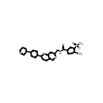 Cc1ccc(C(=O)NCc2cc3nc(-c4ccc(-c5cccnc5)cc4)ccc3cn2)cc1S(C)(=O)=O